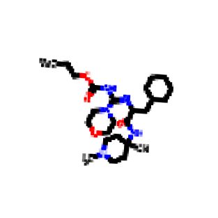 COCCOC(=O)N/C(=N/C(CC1CCCCC1)C(=O)NC1(C#N)CCN(C)CC1)N1CCOCC1